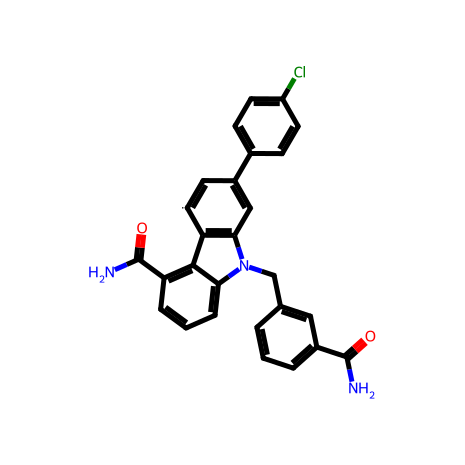 NC(=O)c1cccc(Cn2c3cc(-c4ccc(Cl)cc4)c[c]c3c3c(C(N)=O)cccc32)c1